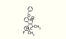 C=C(C)c1c[n+]([O-])c2c(OCc3ccccc3)cccc2c1-c1ccc(F)c(C)c1